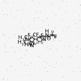 CN(C)c1c(F)c(C(F)(F)F)c(-c2ccc3nc(NC(=O)[C@@H]4C[C@@H]4F)sc3c2)c2cn[nH]c12